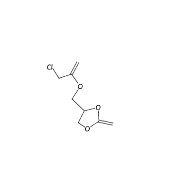 C=C(CCl)OCC1COC(=C)O1